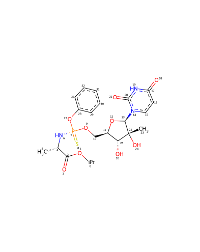 CC(C)OC(=O)[C@H](C)N[P@@](=S)(OC[C@H]1O[C@@H](n2ccc(=O)[nH]c2=O)[C@](C)(O)[C@@H]1O)Oc1ccccc1